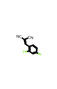 N#CC(C#N)=Cc1ccc(F)cc1F